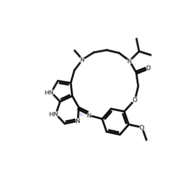 COc1ccc2cc1OCC(=O)N(C(C)C)CCCN(C)Cc1c[nH]c3c1/C(=N\2)N=CN3